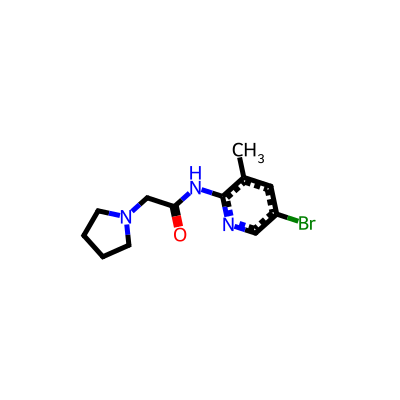 Cc1cc(Br)cnc1NC(=O)CN1CCCC1